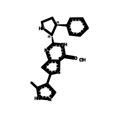 Cc1[nH]ncc1-c1cc2nc([C@@H]3NCC[C@H]3c3ccccc3)[nH]c(=O)c2s1.Cl